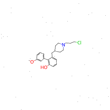 COc1cccc(-c2c(O)cccc2CC2CCN(CCCCl)CC2)c1